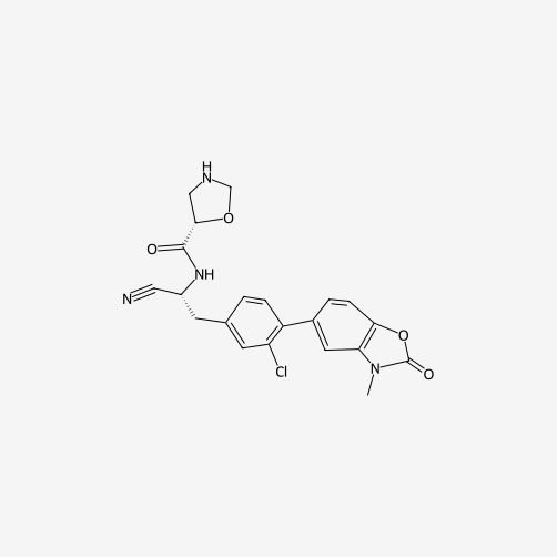 Cn1c(=O)oc2ccc(-c3ccc(C[C@H](C#N)NC(=O)[C@@H]4CNCO4)cc3Cl)cc21